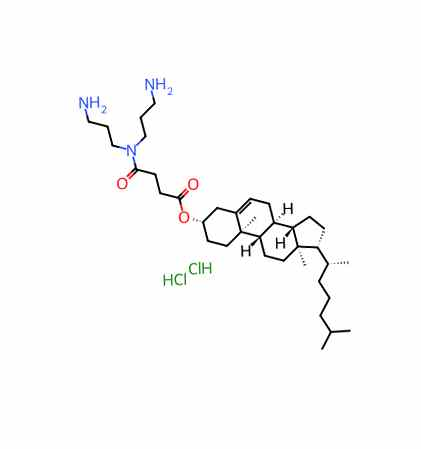 CC(C)CCC[C@@H](C)[C@H]1CC[C@H]2[C@@H]3CC=C4C[C@@H](OC(=O)CCC(=O)N(CCCN)CCCN)CC[C@]4(C)[C@H]3CC[C@]12C.Cl.Cl